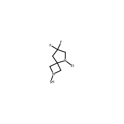 CCN1CC(F)(F)CC12CN(S)C2